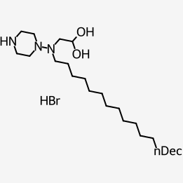 Br.CCCCCCCCCCCCCCCCCCCCCCN(CC(O)O)N1CCNCC1